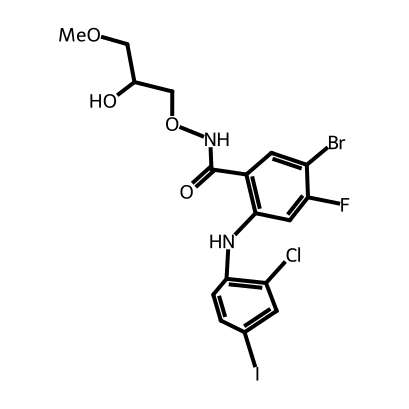 COCC(O)CONC(=O)c1cc(Br)c(F)cc1Nc1ccc(I)cc1Cl